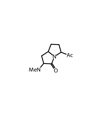 CNC1CC2CCC(C(C)=O)N2C1=O